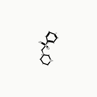 O=S(=O)(C[C@@H]1CCCOC1)c1ccccc1